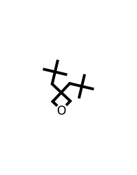 CC(C)(C)CC1(CC(C)(C)C)COC1